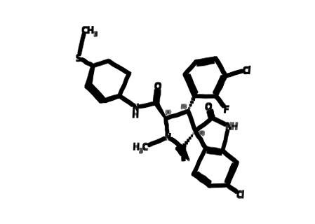 CSC12CCC(NC(=O)[C@H]3[C@H](c4cccc(Cl)c4F)[C@]4(C(=O)Nc5cc(Cl)ccc54)C4(CCCCC4)N3C)(CC1)CC2